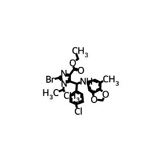 CCOC(=O)c1nc(Br)n(C(C)C)c1C(Nc1cc(C)c2c(c1)OCO2)c1ccc(Cl)cc1